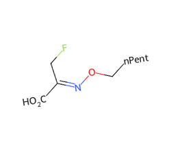 CCCCCCO/N=C(\CF)C(=O)O